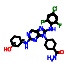 NC(=O)C1CCC(n2c(Nc3c(F)cc(Cl)cc3F)nc3cnc(N[C@@H]4CCC[C@@H](O)C4)nc32)CC1